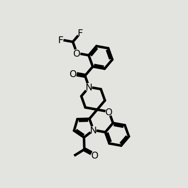 CC(=O)c1ccc2n1-c1ccccc1OC21CCN(C(=O)c2ccccc2OC(F)F)CC1